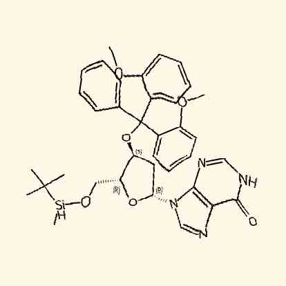 COc1ccccc1C(O[C@H]1C[C@H](n2cnc3c(=O)[nH]cnc32)O[C@@H]1CO[SiH](C)C(C)(C)C)(c1ccccc1)c1ccccc1OC